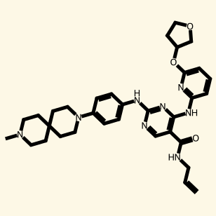 C=CCNC(=O)c1cnc(Nc2ccc(N3CCC4(CCN(C)CC4)CC3)cc2)nc1Nc1cccc(OC2CCOC2)n1